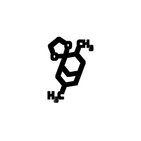 CC1CC2CC(C)C3(OCCO3)C(C1)C2